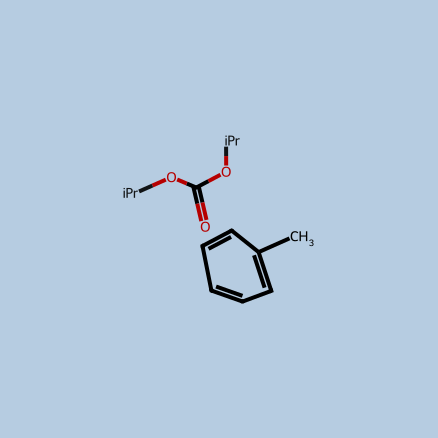 CC(C)OC(=O)OC(C)C.Cc1ccccc1